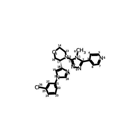 Cn1c(-c2ccncc2)nnc1N1CCOC[C@H]1c1cn(-c2cccc(Cl)c2)cn1